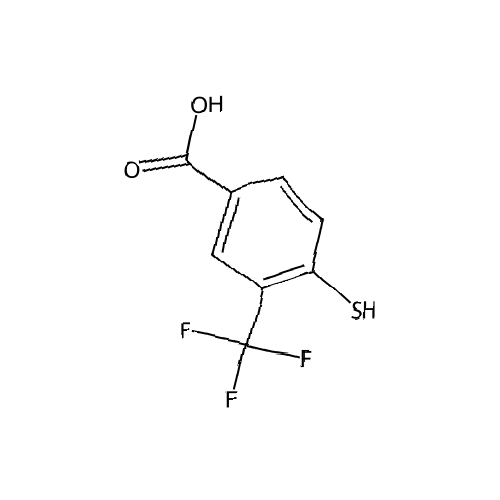 O=C(O)c1ccc(S)c(C(F)(F)F)c1